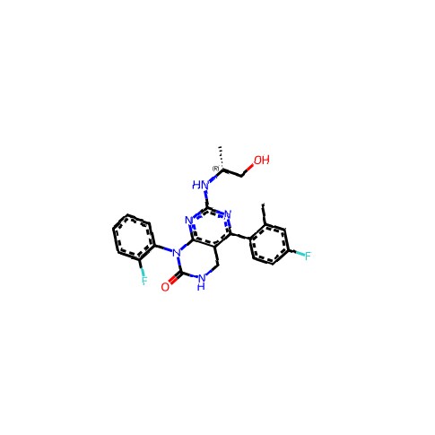 Cc1cc(F)ccc1-c1nc(N[C@H](C)CO)nc2c1CNC(=O)N2c1ccccc1F